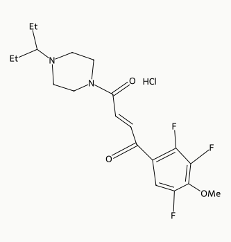 CCC(CC)N1CCN(C(=O)C=CC(=O)c2cc(F)c(OC)c(F)c2F)CC1.Cl